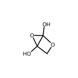 OC12COC1(O)O2